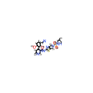 COc1ccc(C#N)cc1-c1cc(C)ncc1C(=O)Nc1nc2c(s1)CN(S(=O)(=O)NCC(C)C)C2